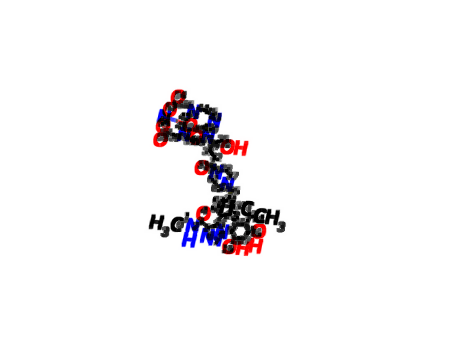 CCNC(=O)c1nnn(-c2cc(C(C)C)c(O)cc2O)c1-c1ccc(CN2CCN(C(=O)CC[C@H](CO)N3CCN4CCN5CCN(CC(=O)ON(OC(=O)C5)OC(=O)C4)C3)CC2)cc1